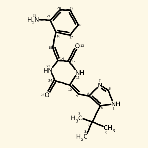 CC(C)(C)c1[nH]cnc1C=c1[nH]c(=O)c(=Cc2ccccc2N)[nH]c1=O